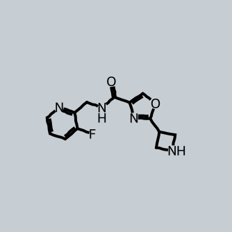 O=C(NCc1ncccc1F)c1coc(C2CNC2)n1